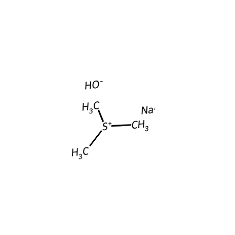 C[S+](C)C.[Na].[OH-]